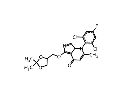 CC1=CC(=O)C2=C(OCC3COC(C)(C)O3)N=CC2N1c1c(Cl)cc(F)cc1Cl